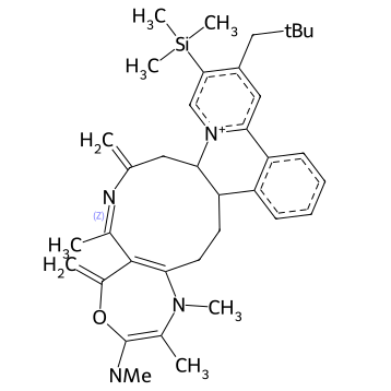 C=C1CC2C(CCC3=C(C(=C)OC(NC)=C(C)N3C)/C(C)=N\1)c1ccccc1-c1cc(CC(C)(C)C)c([Si](C)(C)C)c[n+]12